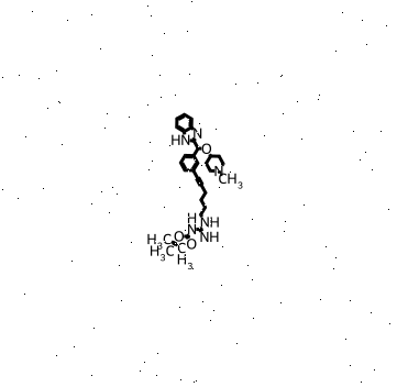 CN1CCC(OC(c2cccc(C#CCCCCNC(=N)NC(=O)OC(C)(C)C)c2)c2nc3ccccc3[nH]2)CC1